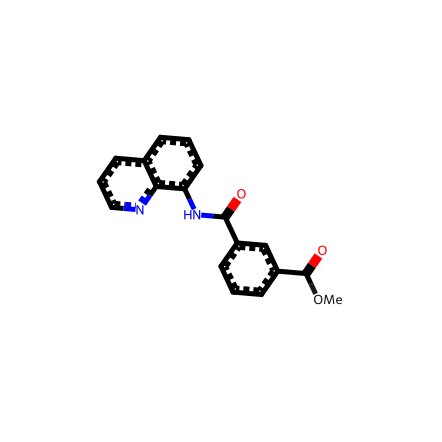 COC(=O)c1cccc(C(=O)Nc2cccc3cccnc23)c1